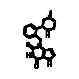 CN1CCNC(c2ccccc2Cn2c(=S)[nH]c(=O)c3[nH]ccc32)C1